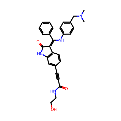 CN(C)Cc1ccc(NC(=C2C(=O)Nc3cc(C#CC(=O)NCCO)ccc32)c2ccccc2)cc1